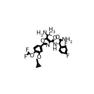 C[C@H](N)c1oc(-c2ccc(OC(F)F)c(OCC3CC3)c2)nc1C(=O)N[C@H](C(N)=O)c1ccc(F)cc1F